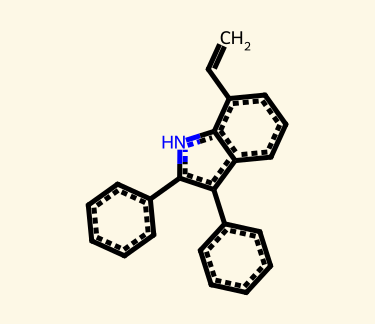 C=Cc1cccc2c(-c3ccccc3)c(-c3ccccc3)[nH]c12